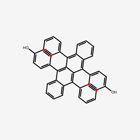 Oc1ccc(-c2c3ccccc3c(-c3ccccc3)c3c(-c4ccc(O)cc4)c4ccccc4c(-c4ccccc4)c23)cc1